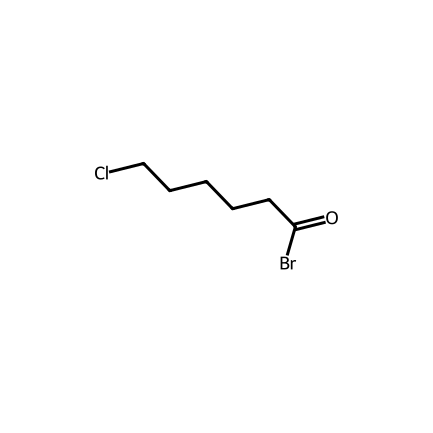 O=C(Br)CCCCCCl